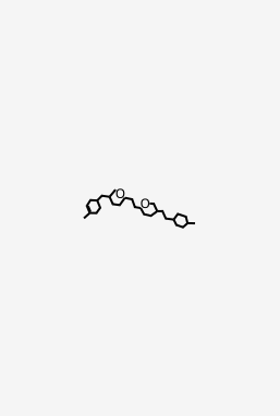 CC1=CCC(CC2CCC(CCC3CCC(CCC4CCC(C)CC4)CO3)OC2)CC1